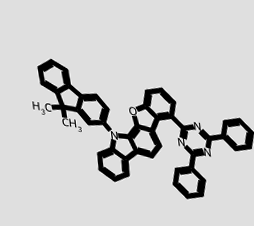 CC1(C)c2ccccc2-c2ccc(-n3c4ccccc4c4ccc5c(oc6cccc(-c7nc(-c8ccccc8)nc(-c8ccccc8)n7)c65)c43)cc21